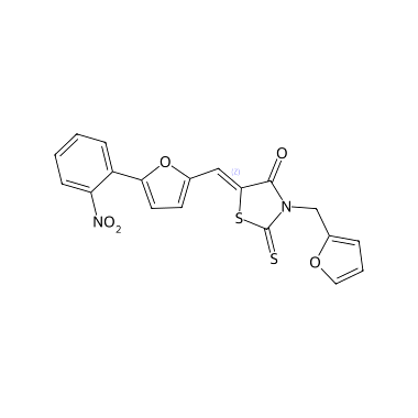 O=C1/C(=C/c2ccc(-c3ccccc3[N+](=O)[O-])o2)SC(=S)N1Cc1ccco1